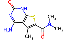 Cc1c(C(=O)N(C)C)sc2[nH]c(=O)nc(N)c12